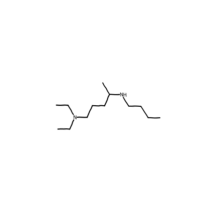 CCCCNC(C)CCCN(CC)CC